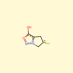 Oc1on[n+]2c1C[C@@H](F)C2